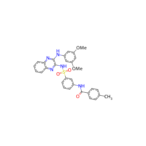 COc1cc(Nc2nc3ccccc3nc2NS(=O)(=O)c2cccc(NC(=O)c3ccc(C)cc3)c2)cc(OC)c1